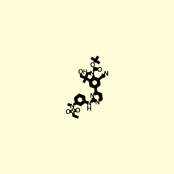 CCS(=O)(=O)N(C)c1cccc(Nc2nccc(-c3cc(C#N)c4c(c3)C(C)(CO)CN4C(=O)OC(C)(C)C)n2)c1